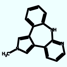 Cn1cc2c(c1)-c1cccnc1Nc1ccccc1-2